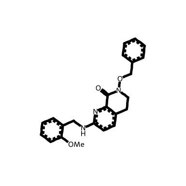 COc1ccccc1CNc1ccc2c(n1)C(=O)N(OCc1ccccc1)CC2